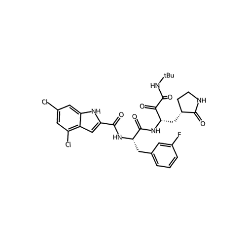 CC(C)(C)NC(=O)C(=O)[C@H](C[C@@H]1CCNC1=O)NC(=O)[C@H](Cc1cccc(F)c1)NC(=O)c1cc2c(Cl)cc(Cl)cc2[nH]1